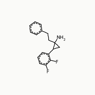 NC1(CCc2ccccc2)CC1c1cccc(F)c1F